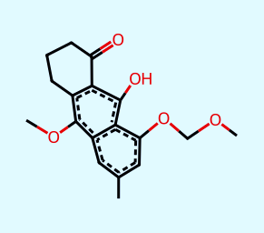 COCOc1cc(C)cc2c(OC)c3c(c(O)c12)C(=O)CCC3